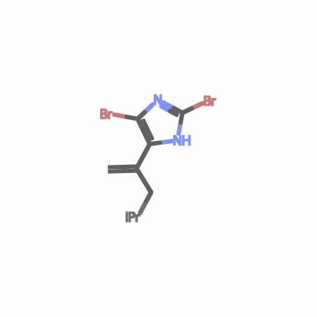 C=C(CC(C)C)c1[nH]c(Br)nc1Br